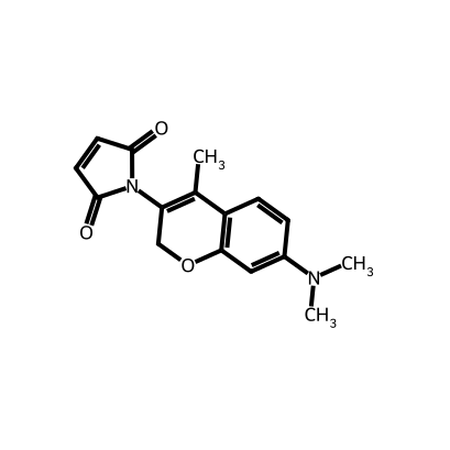 CC1=C(N2C(=O)C=CC2=O)COc2cc(N(C)C)ccc21